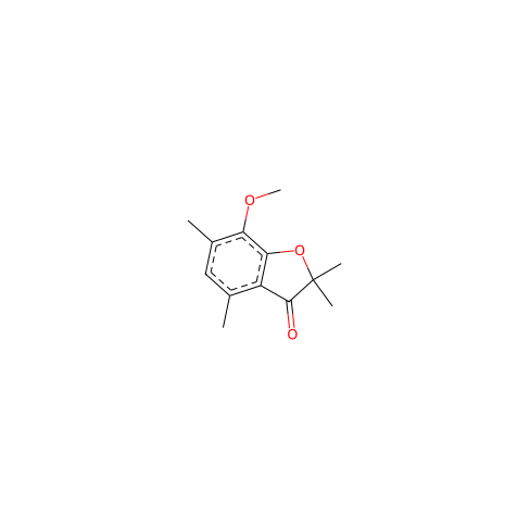 COc1c(C)cc(C)c2c1OC(C)(C)C2=O